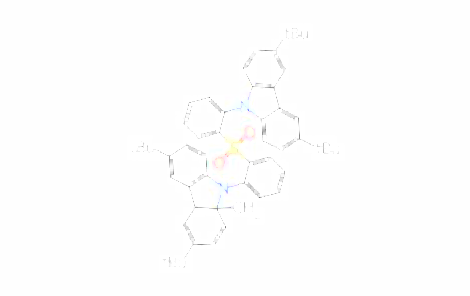 CC(C)(C)C1=CC2c3cc(C(C)(C)C)ccc3N(c3ccccc3S(=O)(=O)c3ccccc3-n3c4ccc(C(C)(C)C)cc4c4cc(C(C)(C)C)ccc43)C2(C)C=C1